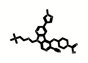 Cn1cc(-c2cnc3c(c2)c2c(SC4CCN(C(=O)O)CC4)c(C#N)ncc2n3COCC[Si](C)(C)C)cn1